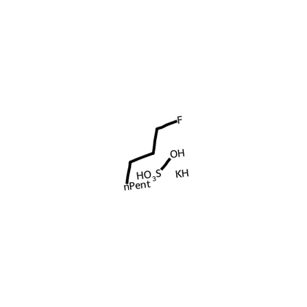 CCCCCCCCF.O=S(=O)(O)O.[KH]